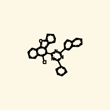 Clc1c(-c2nc(-c3ccccc3)nc(-c3ccc4ccccc4c3)n2)c2c3ccccc3oc2c2ccccc12